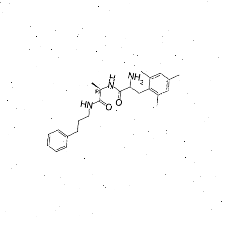 Cc1cc(C)c(CC(N)C(=O)N[C@H](C)C(=O)NCCCc2ccccc2)c(C)c1